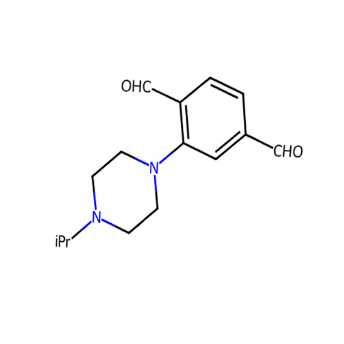 CC(C)N1CCN(c2cc(C=O)ccc2C=O)CC1